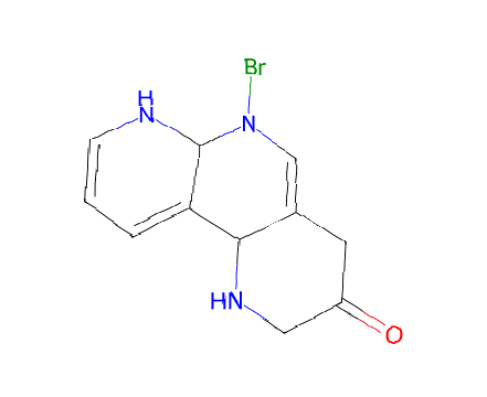 O=C1CNC2C(=CN(Br)C3NC=CC=C23)C1